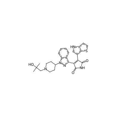 CC(C)(O)CN1CCC(n2nc(C3=C(c4c[nH]c5ccsc45)C(=O)NC3=O)c3ccccc32)CC1